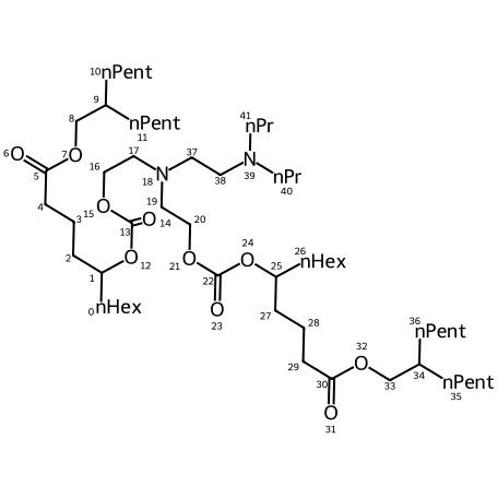 CCCCCCC(CCCC(=O)OCC(CCCCC)CCCCC)OC(=O)OCCN(CCOC(=O)OC(CCCCCC)CCCC(=O)OCC(CCCCC)CCCCC)CCN(CCC)CCC